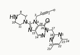 CC#CCn1c(N2CCNCC2)nc2cnn(Cc3nc(C)cc(C)n3)c(=O)c21